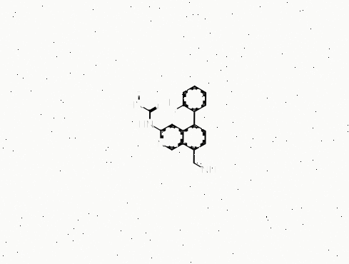 CCNC(=O)Nc1cc2c(-c3ccccc3O)ccc(CN)c2cn1